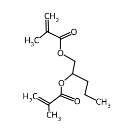 C=C(C)C(=O)OCC(CCC)OC(=O)C(=C)C